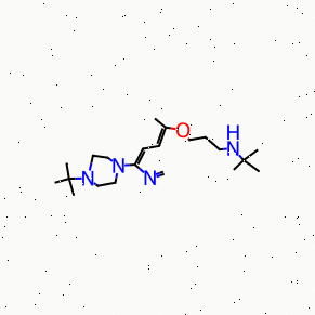 C=N/C(=C\C=C(/C)OCCCNC(C)(C)C)N1CCN(C(C)(C)C)CC1